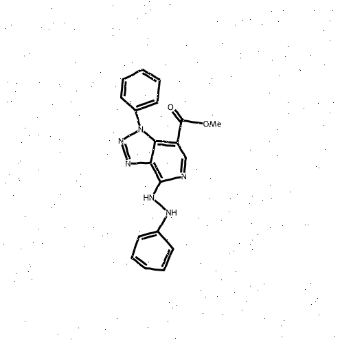 COC(=O)c1cnc(NNc2ccccc2)c2nnn(-c3ccccc3)c12